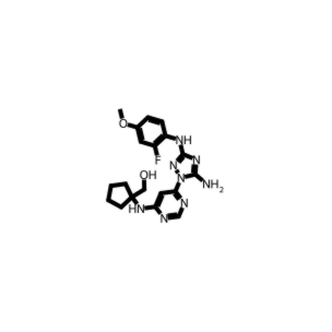 COc1ccc(Nc2nc(N)n(-c3cc(NC4(CO)CCCC4)ncn3)n2)c(F)c1